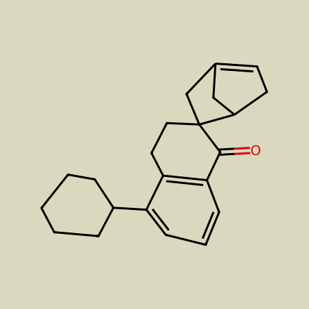 O=C1c2cccc(C3CCCCC3)c2CCC12CC1=CCC2C1